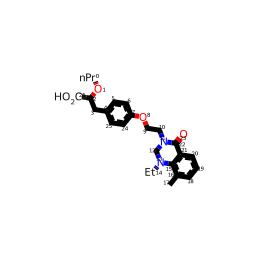 CCCOC(Cc1ccc(OCCN2CN(CC)c3c(C)cccc3C2=O)cc1)C(=O)O